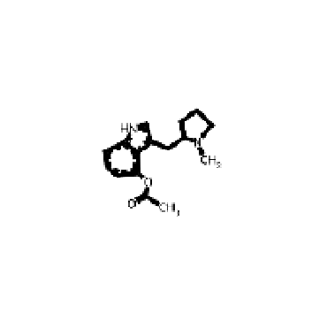 CC(=O)Oc1cccc2[nH]cc(CC3CCCN3C)c12